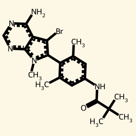 Cc1cc(NC(=O)C(C)(C)C)cc(C)c1-c1c(Br)c2c(N)ncnc2n1C